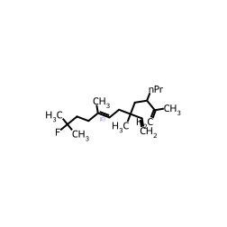 C=CC(C)(C/C=C(\C)CCC(C)(C)F)CC(CCC)C(=C)C